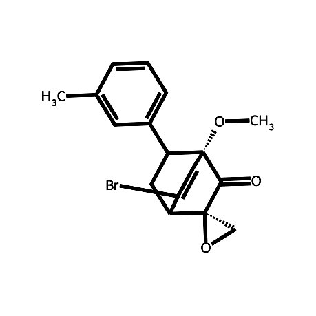 CO[C@]12C=C(Br)C(CC1c1cccc(C)c1)[C@@]1(CO1)C2=O